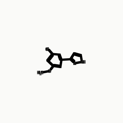 COc1cc(Cl)cc(-c2cc[nH]n2)c1